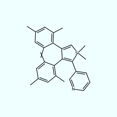 Cc1cc(C)c(C2=C[Si](C)(C)C(c3cccnc3)=C2c2c(C)cc(C)cc2C)c(C)c1